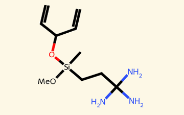 C=CC(C=C)O[Si](C)(CCC(N)(N)N)OC